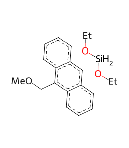 CCO[SiH2]OCC.COCc1c2ccccc2cc2ccccc12